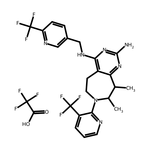 CC1c2nc(N)nc(NCc3ccc(C(F)(F)F)nc3)c2CCN(c2ncccc2C(F)(F)F)C1C.O=C(O)C(F)(F)F